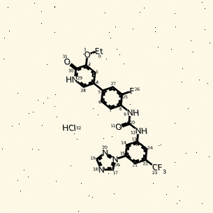 CCOc1cc(-c2ccc(NC(=O)Nc3cc(-n4cncn4)cc(C(F)(F)F)c3)c(F)c2)c[nH]c1=O.Cl